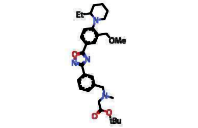 CCC1CCCCN1c1ccc(-c2nc(-c3cccc(CN(C)CC(=O)OC(C)(C)C)c3)no2)cc1COC